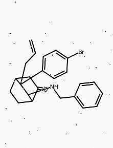 C=CCC1(c2ccc(Br)cc2)C2CCC(C(=O)C2)C1NCc1ccccc1